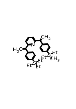 C=C(c1ccc([Si](C)(CC)CC)cc1)c1cccc(C(=C)c2ccc([Si](CC)(CC)CC)cc2)n1